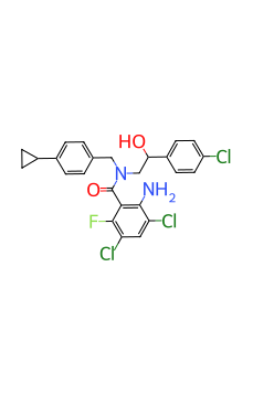 Nc1c(Cl)cc(Cl)c(F)c1C(=O)N(Cc1ccc(C2CC2)cc1)CC(O)c1ccc(Cl)cc1